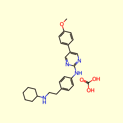 COc1ccc(-c2cnc(Nc3ccc(CCNC4CCCCC4)cc3)nc2)cc1.O=C(O)O